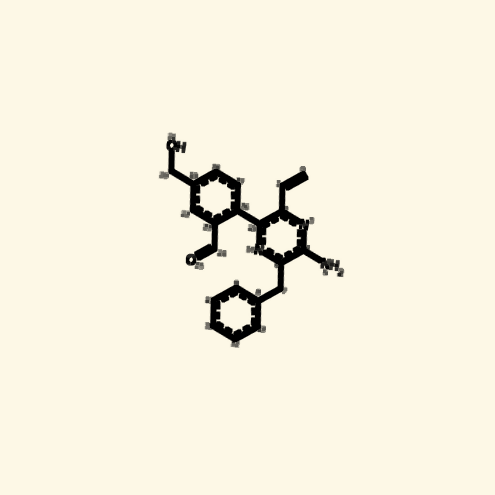 C=Cc1nc(N)c(Cc2ccccc2)nc1-c1ccc(CO)cc1C=O